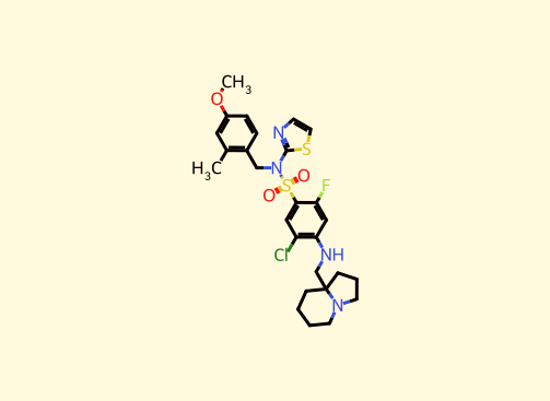 COc1ccc(CN(c2nccs2)S(=O)(=O)c2cc(Cl)c(NCC34CCCCN3CCC4)cc2F)c(C)c1